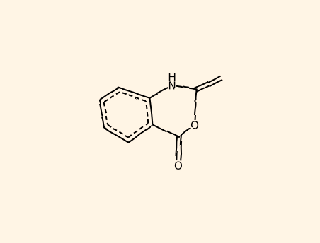 C=C1Nc2ccccc2C(=O)O1